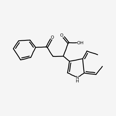 C/C=c1/c(C(CC(=O)c2ccccc2)C(=O)O)c[nH]/c1=C/C